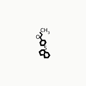 CCCC(=O)c1ccc(Sc2cccc3ccccc23)cc1